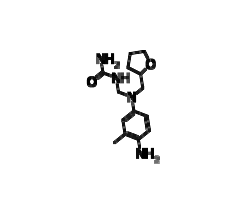 Cc1cc(N(CNC(N)=O)CC2CCCO2)ccc1N